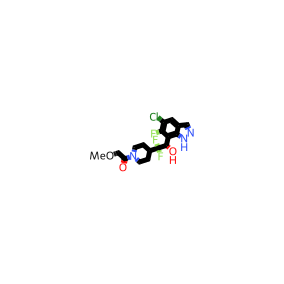 COCC(=O)N1CCC(C(F)(F)C(O)c2c(F)c(Cl)cc3cn[nH]c23)CC1